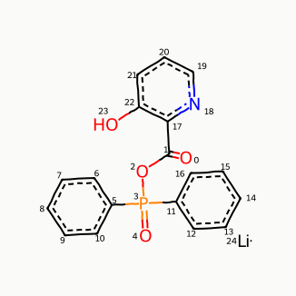 O=C(OP(=O)(c1ccccc1)c1ccccc1)c1ncccc1O.[Li]